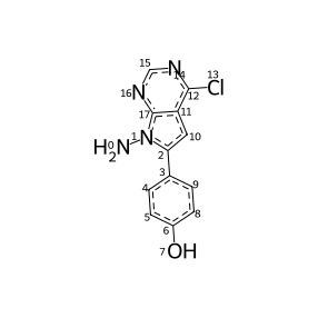 Nn1c(-c2ccc(O)cc2)cc2c(Cl)ncnc21